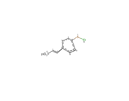 O=S(=O)(O)C=Cc1ccc(SCl)cc1